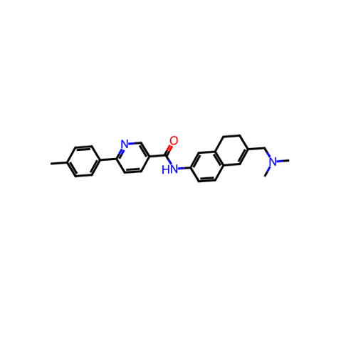 Cc1ccc(-c2ccc(C(=O)Nc3ccc4c(c3)CCC(CN(C)C)=C4)cn2)cc1